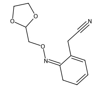 N#CCC1=CC=CC/C1=N/OCC1OCCO1